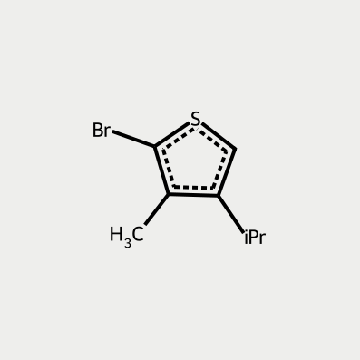 Cc1c(C(C)C)csc1Br